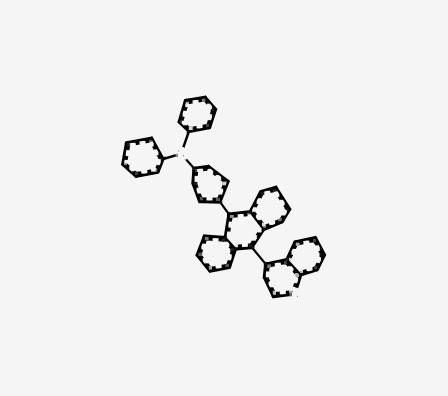 c1ccc(N(c2ccccc2)c2ccc(-c3c4ccccc4c(-c4ccnc5ccccc45)c4ccccc34)cc2)cc1